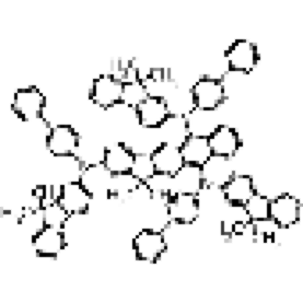 CC1(C)c2ccccc2-c2ccc(N(c3ccc(-c4ccccc4)cc3)c3ccc4c(c3)C(C)(C)c3cc5c(N(c6ccc(-c7ccccc7)cc6)c6ccc7c(c6)C(C)(C)c6ccccc6-7)c6ccccc6c(N(c6ccc(-c7ccccc7)cc6)c6ccc7c(c6)C(C)(C)c6ccccc6-7)c5cc3-4)cc21